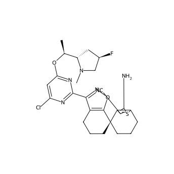 C[C@H](Oc1cc(Cl)nc(-c2noc3c2CCC[C@@]32CCCc3sc(N)c(C#N)c32)n1)[C@@H]1C[C@@H](F)CN1C